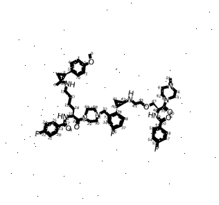 COc1ccc([C@@H]2CC2(C)NCCCC[C@H](NC(=O)c2ccc(F)cc2)C(=O)N2CCN(Cc3cc(F)ccc3[C@@H]3CC3NCCOC[C@H](NC(=O)c3ccc(F)cc3)C(=O)N3CCN(C)CC3)CC2)cc1